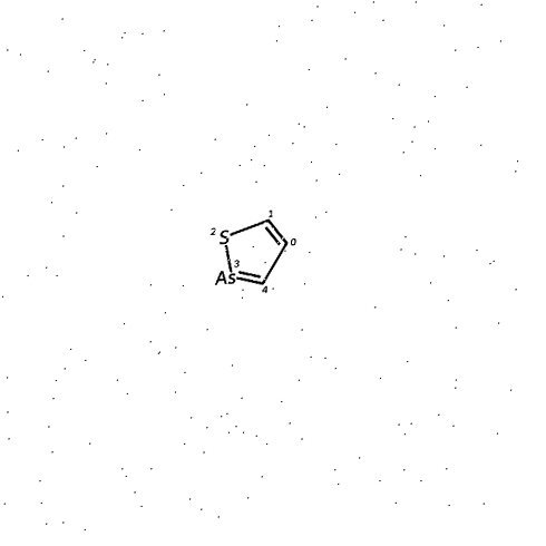 C1=CS[As]=C1